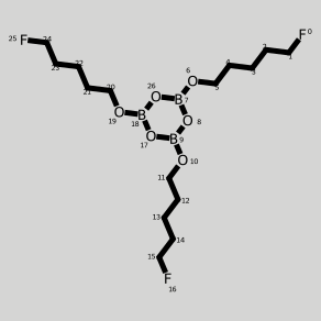 FCCCCCOB1OB(OCCCCCF)OB(OCCCCCF)O1